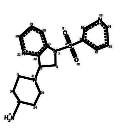 NC1CCN(C2CN(S(=O)(=O)c3cccnc3)c3cccnc32)CC1